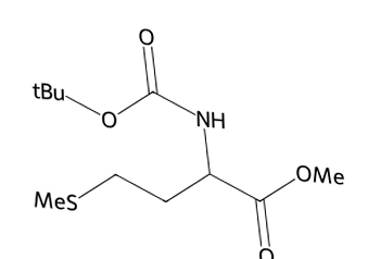 COC(=O)C(CCSC)NC(=O)OC(C)(C)C